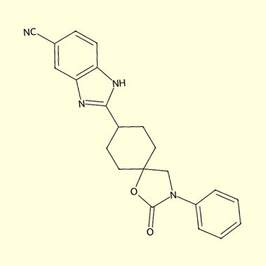 N#Cc1ccc2[nH]c(C3CCC4(CC3)CN(c3ccccc3)C(=O)O4)nc2c1